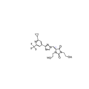 O=C1/C(=C/n2cnc(-c3cc(C4CC4)nc(C(F)(F)F)c3)n2)N(CCO)C(=O)N1CCO